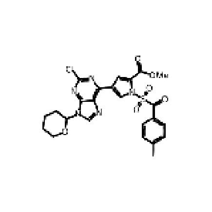 COC(=O)c1cc(-c2nc(Cl)nc3c2ncn3C2CCCCO2)cn1S(=O)(=O)C(=O)c1ccc(C)cc1